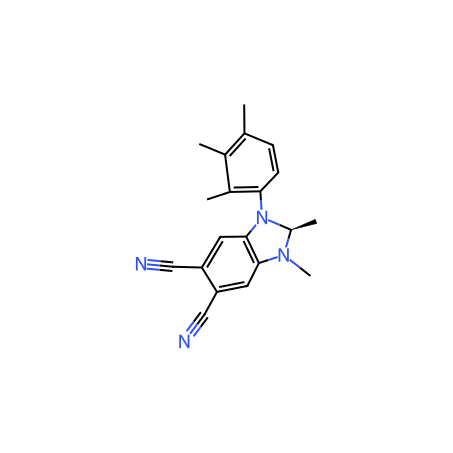 Cc1ccc(N2c3cc(C#N)c(C#N)cc3N(C)[C@@H]2C)c(C)c1C